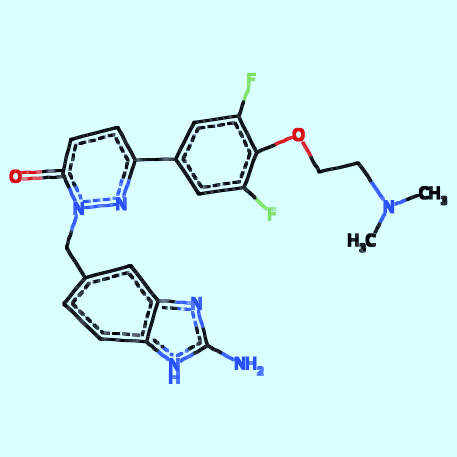 CN(C)CCOc1c(F)cc(-c2ccc(=O)n(Cc3ccc4[nH]c(N)nc4c3)n2)cc1F